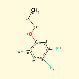 CCCOc1[c]c(F)c(F)cc1F